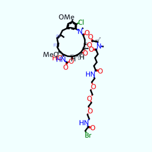 COc1cc2cc(c1Cl)N(C)C(=O)C[C@H](OC(=O)[C@H](C)N(C)C(=O)CCCCC(=O)NCCOCCOCCOCCNC(=O)CBr)[C@]1(C)O[C@H]1[C@H](C)[C@@H]1C[C@@](O)(NC(=O)O1)[C@H](OC)/C=C/C=C(\C)C2